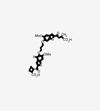 COc1cc2cc(C(=O)CC(C)C(=O)O)sc2cc1OCCCOc1c(OC)cc2sc(C(=O)[C@@H]3CC[C@H]3C(=O)O)cc2c1F